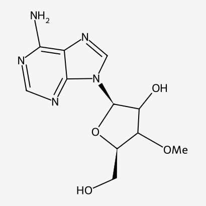 COC1C(O)[C@H](n2cnc3c(N)ncnc32)O[C@@H]1CO